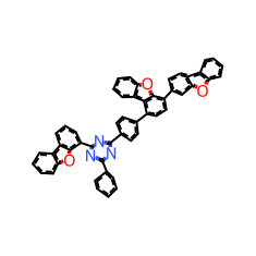 c1ccc(-c2nc(-c3ccc(-c4ccc(-c5ccc6c(c5)oc5ccccc56)c5oc6ccccc6c45)cc3)nc(-c3cccc4c3oc3ccccc34)n2)cc1